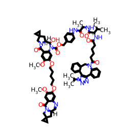 COc1cc2c(cc1OCCCCCOc1cc3c(cc1OC)C(=O)N1CC4(CC4)C[C@H]1C(O)N3C(=O)OCc1ccc(NC(=O)[C@H](C)NC(=O)[C@@H](NC(=O)CCCCC(=O)N3Cc4ccccc4-c4c(nnn4C(C)C)-c4ccccc43)C(C)C)cc1)N=C[C@@H]1CC3(CC3)CN1C2=O